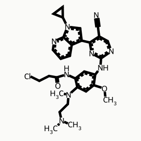 COc1cc(N(C)CCN(C)C)c(NC(=O)CCCl)cc1Nc1ncc(C#N)c(-c2cn(C3CC3)c3ncccc23)n1